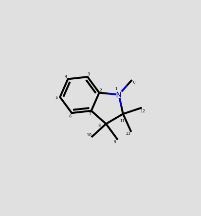 CN1c2ccccc2C(C)(C)C1(C)C